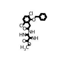 COC(=O)C(=N)C(=N)NC(=O)Cc1c(Cl)ccc(Cl)c1OCc1ccccc1